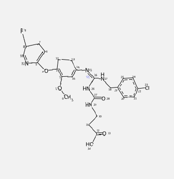 COC1=C(OC2=CCC(F)C=N2)CCC(/N=C(/NCc2ccc(Cl)cc2)NC(=O)NCCC(=O)O)=C1